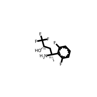 C[C@](N)(C[C@H](O)C(F)(F)F)c1c(F)cccc1F